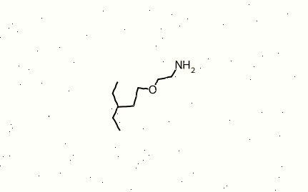 CCC(CC)CCOCCN